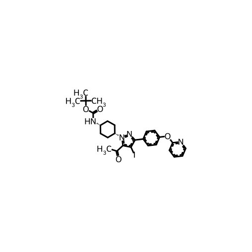 CC(=O)c1c(I)c(-c2ccc(Oc3ccccn3)cc2)nn1[C@H]1CC[C@@H](NC(=O)OC(C)(C)C)CC1